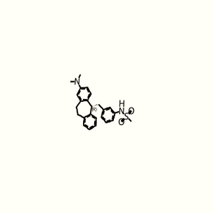 CN(C)c1ccc2c(c1)CCc1ccccc1[C@H]2Cc1cccc(NS(C)(=O)=O)c1